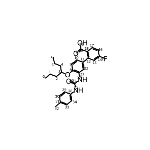 CCCC(CCC)Oc1ccc(-c2cc(F)ccc2C(=O)O)cc1NC(=O)Nc1ccc(C)cc1